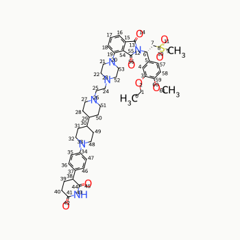 CCOc1cc([C@@H](CS(C)(=O)=O)N2C(=O)c3cccc(N4CCN(CCN5CCC(C6CCN(c7ccc(C8CCC(=O)NC8=O)cc7)CC6)CC5)CC4)c3C2=O)ccc1OC